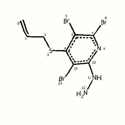 C=CCSc1c(Br)c(Br)nc(NN)c1Br